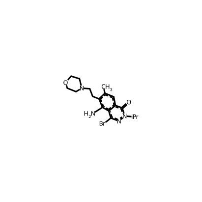 Cc1cc2c(=O)n(C(C)C)nc(Br)c2c(N)c1CCN1CCOCC1